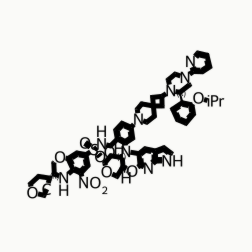 CC(C)Oc1ccccc1[C@@H]1CN(c2ccccn2)CCN1C1CC2(CCN(c3ccc(C(=O)NS(=O)(=O)c4cc5c(c([N+](=O)[O-])c4)N[C@H](C4CCOCC4)CO5)c(N4c5cc6cc[nH]c6nc5O[C@H]5COCC[C@@H]54)c3)CC2)C1